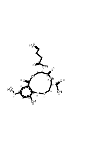 C=CCCC(=O)N[C@H]1COC(=O)c2cc(OC)cc(O)c2CSC[C@@H](C(=O)O)NC1=O